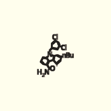 CCCCc1c[c]c2c3c(C(N)=O)cccc3n(Cc3cc(Cl)cc(Cl)c3)c2c1